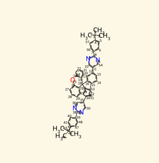 CC(C)(C)c1ccc(-c2ncc(-c3ccc4c(c3)C3(c5ccccc5Oc5ccccc53)c3cc(-c5cnc(-c6ccc(C(C)(C)C)cc6)nc5)ccc3-4)cn2)cc1